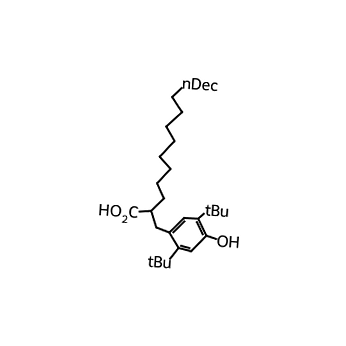 CCCCCCCCCCCCCCCCCCC(Cc1cc(C(C)(C)C)c(O)cc1C(C)(C)C)C(=O)O